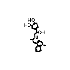 Cc1ccc(CC(C)NCC(O)c2ccc(O)c(O)c2)c2ccccc12